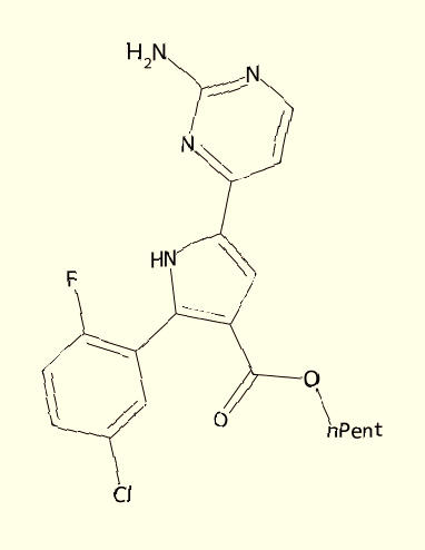 CCCCCOC(=O)c1cc(-c2ccnc(N)n2)[nH]c1-c1cc(Cl)ccc1F